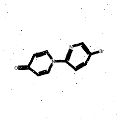 O=c1ccn(-c2ccc(Br)cn2)cc1